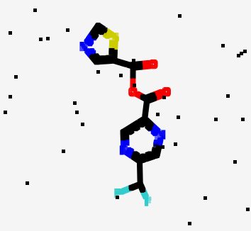 O=C(OC(=O)c1cncs1)c1cnc(C(F)F)cn1